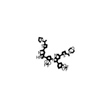 CC(c1ccc(-c2cnc3[nH]cc(-c4ccc(-n5cc(-c6ccc7c(c6)OC(F)(F)O7)c6cc(-c7ccc(C(C)N8CCOCC8)s7)cnc65)c5c4OC(F)(F)O5)c3c2)s1)N1CCCC1